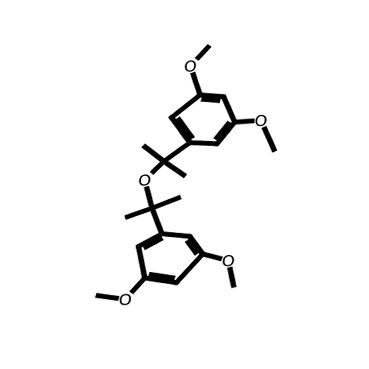 COc1cc(OC)cc(C(C)(C)OC(C)(C)c2cc(OC)cc(OC)c2)c1